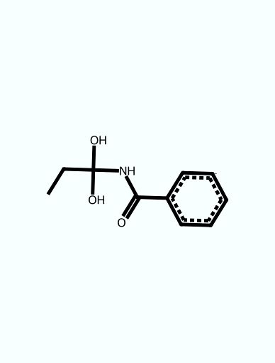 CCC(O)(O)NC(=O)c1c[c]ccc1